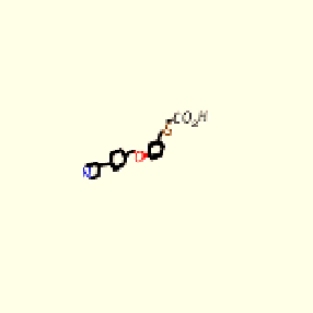 O=C(O)CSCc1cccc(OCc2ccc(-c3ccncc3)cc2)c1